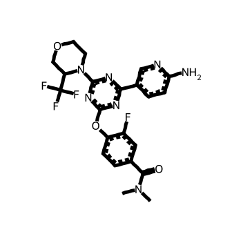 CN(C)C(=O)c1ccc(Oc2nc(-c3ccc(N)nc3)nc(N3CCOCC3C(F)(F)F)n2)c(F)c1